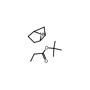 C1CC2CCC1N2.CCC(=O)OC(C)(C)C